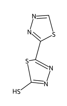 Sc1nnc(-c2nncs2)s1